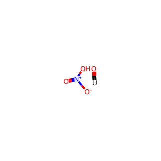 O=[N+]([O-])O.[O]=[U]